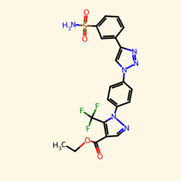 CCOC(=O)c1cnn(-c2ccc(-n3cc(-c4cccc(S(N)(=O)=O)c4)nn3)cc2)c1C(F)(F)F